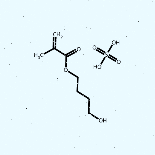 C=C(C)C(=O)OCCCCO.O=S(=O)(O)O